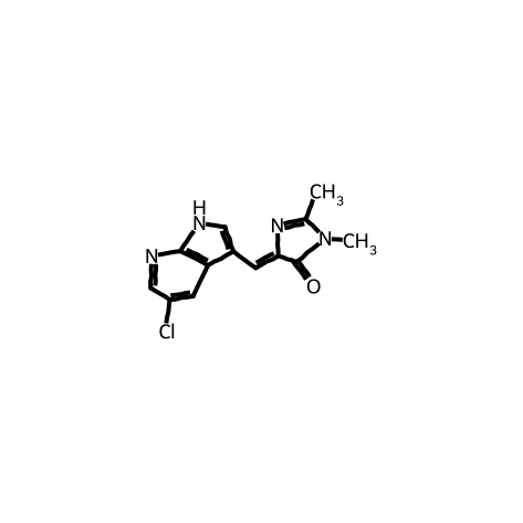 CC1=NC(=Cc2c[nH]c3ncc(Cl)cc23)C(=O)N1C